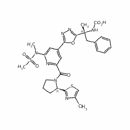 Cc1csc([C@H]2CCCN2C(=O)c2cc(-c3nnc([C@@](C)(Cc4ccccc4)NC(=O)O)o3)cc(N(C)S(C)(=O)=O)n2)n1